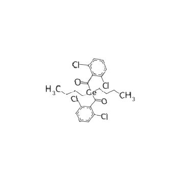 CCC[CH2][Ge]([CH2]CCC)([C](=O)c1c(Cl)cccc1Cl)[C](=O)c1c(Cl)cccc1Cl